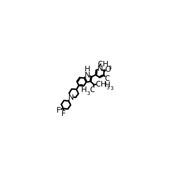 Cc1cc(-c2[nH]c3ccc(C4CCN(C5CCC(F)(F)CC5)CC4)cc3c2C(C)C)cn(C)c1=O